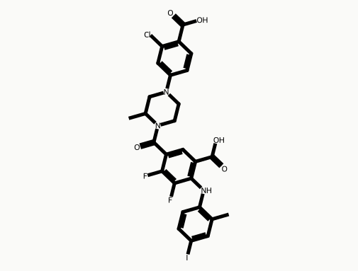 Cc1cc(I)ccc1Nc1c(C(=O)O)cc(C(=O)N2CCN(c3ccc(C(=O)O)c(Cl)c3)CC2C)c(F)c1F